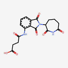 O=C(O)CCC(=O)Nc1cccc2c1C(=O)N(C1CCCC(=O)NC1=O)C2=O